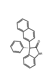 O=C1Nc2ccccc2[C@@]1(c1ccccc1)c1ccc2ccccc2c1